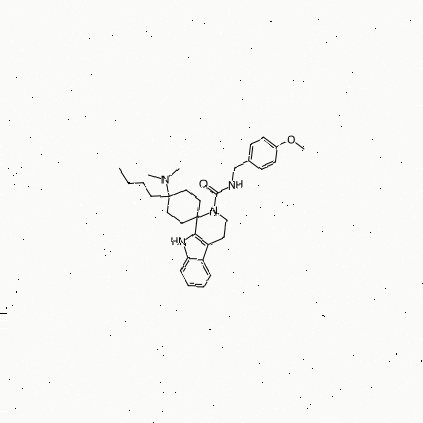 CCCCC1(N(C)C)CCC2(CC1)c1[nH]c3ccccc3c1CCN2C(=O)NCc1ccc(OC)cc1